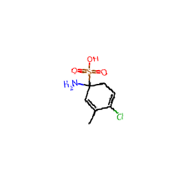 CC1=CC(N)(S(=O)(=O)O)CC=C1Cl